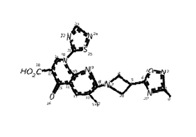 Cc1noc(C2CN(c3nc4c(cc3F)c(=O)c(C(=O)O)cn4-c3ncns3)C2)n1